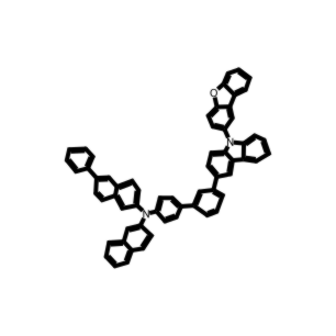 c1ccc(-c2ccc3cc(N(c4ccc(-c5cccc(-c6ccc7c(c6)c6ccccc6n7-c6ccc7oc8ccccc8c7c6)c5)cc4)c4ccc5ccccc5c4)ccc3c2)cc1